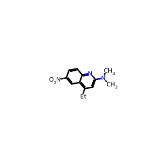 CCc1cc(N(C)C)nc2ccc([N+](=O)[O-])cc12